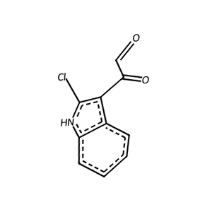 O=CC(=O)c1c(Cl)[nH]c2ccccc12